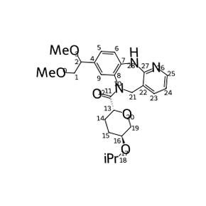 COCC(OC)c1ccc2c(c1)N(C(=O)[C@H]1CC[C@H](OC(C)C)CO1)Cc1cccnc1N2